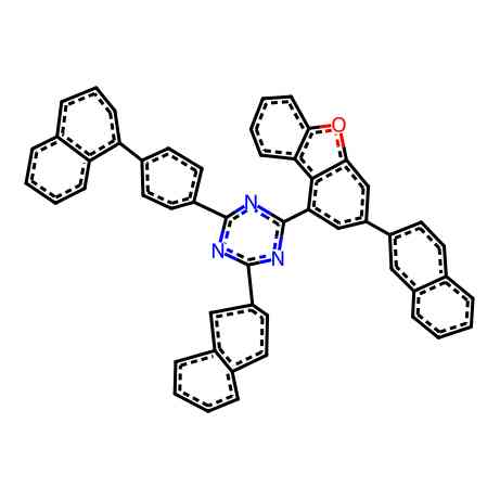 c1ccc2cc(-c3cc(-c4nc(-c5ccc(-c6cccc7ccccc67)cc5)nc(-c5ccc6ccccc6c5)n4)c4c(c3)oc3ccccc34)ccc2c1